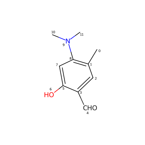 Cc1cc(C=O)c(O)cc1N(C)C